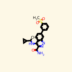 CC(Nc1c(C(N)=O)nnc2cc(-c3cccc(S(C)(=O)=O)c3)ccc12)C1CC1